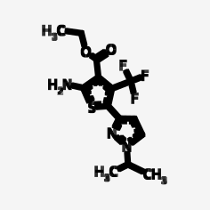 CCOC(=O)c1c(N)sc(-c2ccn(C(C)C)n2)c1C(F)(F)F